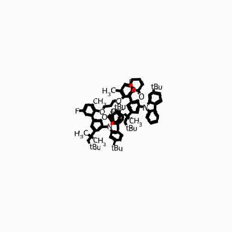 Cc1cc(F)cc(-c2cc(C(C)(C)CC(C)(C)C)cc(-n3c4ccccc4c4ccc(C(C)(C)C)cc43)c2OC2CCCCO2)c1OCCCOc1c(C)cc(F)cc1-c1cc(C(C)(C)CC(C)(C)C)cc(-n2c3cc(C(C)(C)C)ccc3c3ccc(C(C)(C)C)cc32)c1OC1CCCCO1